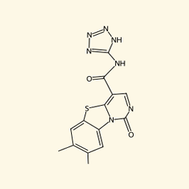 Cc1cc2sc3c(C(=O)Nc4nnn[nH]4)cnc(=O)n3c2cc1C